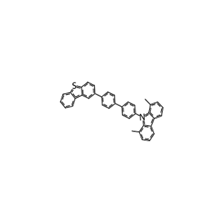 Cc1cccc2c3cccc(C)c3n(-c3ccc(-c4ccc(-c5ccc6sc7ccccc7c6c5)cc4)cc3)c12